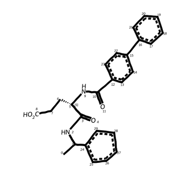 CC(NC(=O)[C@H](CCC(=O)O)NC(=O)c1ccc(-c2ccccc2)cc1)c1ccccc1